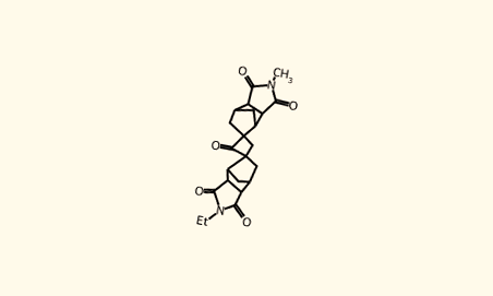 CCN1C(=O)C2C3CC(C2C1=O)C1(C3)CC2(CC3CC2C2C(=O)N(C)C(=O)C32)C1=O